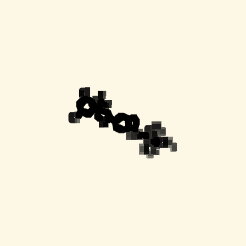 CC(C)(C)OC(=O)NC1CCc2cc(C3=NCC(c4cc(Cl)cc(Cl)c4)(C(F)(F)F)C3)ccc21